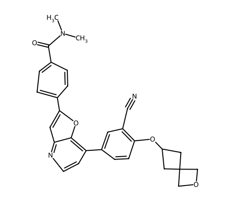 CN(C)C(=O)c1ccc(-c2cc3nccc(-c4ccc(OC5CC6(COC6)C5)c(C#N)c4)c3o2)cc1